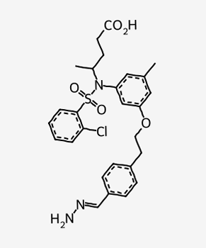 Cc1cc(OCCc2ccc(C=NN)cc2)cc(N(C(C)CCC(=O)O)S(=O)(=O)c2ccccc2Cl)c1